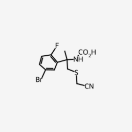 CC(CSCC#N)(NC(=O)O)c1cc(Br)ccc1F